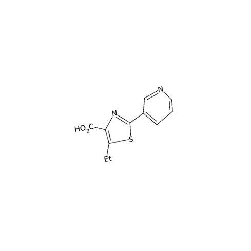 CCc1sc(-c2cccnc2)nc1C(=O)O